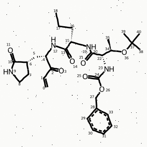 C=CC(=O)[C@H](C[C@@H]1CCNC1=O)NC(=O)[C@H](CCC)NC(=O)[C@@H](NC(=O)OCc1ccccc1)[C@@H](C)OC(C)(C)C